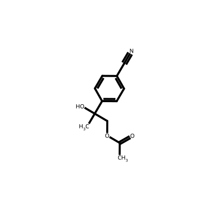 CC(=O)OCC(C)(O)c1ccc(C#N)cc1